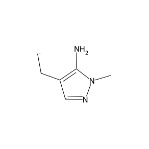 [CH2]Cc1cnn(C)c1N